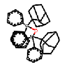 c1ccc([Si](O[Si](c2ccccc2)(c2ccccc2)C23CC4CC(CC(C4)C2)C3)(c2ccccc2)C23CC4CC(CC(C4)C2)C3)cc1